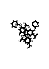 Cc1cc(OC2CCCCO2)c(C(C)C)cc1C1(c2cc(C(C)C)c(OC3CCCCO3)cc2C)OC(=O)c2cc(CBr)ccc21